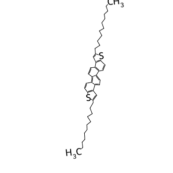 CCCCCCCCCCCCc1cc2c(ccc3c2ccc2c4ccc5sc(CCCCCCCCCCCC)cc5c4ccc32)s1